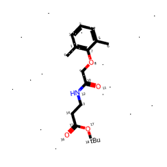 Cc1c[c]cc(C)c1OCC(=O)NCCC(=O)OC(C)(C)C